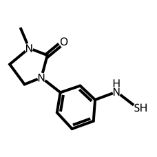 CN1CCN(c2cccc(NS)c2)C1=O